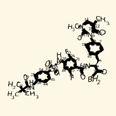 BC(=O)[C@H](Cc1ccc(-n2c(=O)c(C)cn(C)c2=O)cc1)NC(=O)c1cc(F)c(NS(=O)(=O)c2ccc(NC(=O)C(C)(C)C)cc2)cc1F